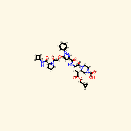 O=C(CC[C@H](NC(=O)c1cc(OCC(=O)N2CCC[C@H]2C(=O)NC2CCC2)n(-c2ccccc2)n1)C(=O)N1CCN(C(=O)O)CC1)OCC1CC1